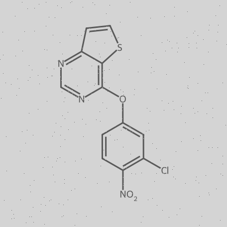 O=[N+]([O-])c1ccc(Oc2ncnc3ccsc23)cc1Cl